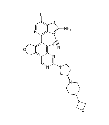 N#Cc1c(N)sc2c(F)cnc(-c3c4c(c5cnc(N6CC[C@@H](N7CCN(C8COC8)CC7)C6)nc5c3F)COC4)c12